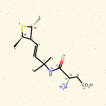 C[C@H]1S[C@H](C)C1C=CC(C)(C)NC(=O)[C@@H](N)CC(=O)O